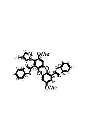 COc1ccc(Oc2cc(OC)c(-n3cc(I)cn3)c(-c3nc4ccccc4s3)c2O)c(-c2nc3ccccc3s2)c1